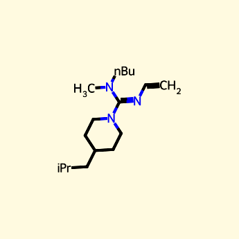 C=C/N=C(\N(C)CCCC)N1CCC(CC(C)C)CC1